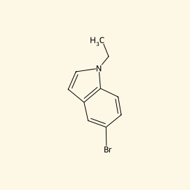 CCn1ccc2cc(Br)ccc21